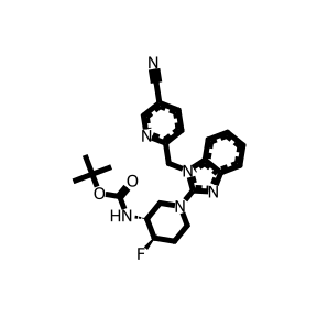 CC(C)(C)OC(=O)N[C@@H]1CN(c2nc3ccccc3n2Cc2ccc(C#N)cn2)CC[C@H]1F